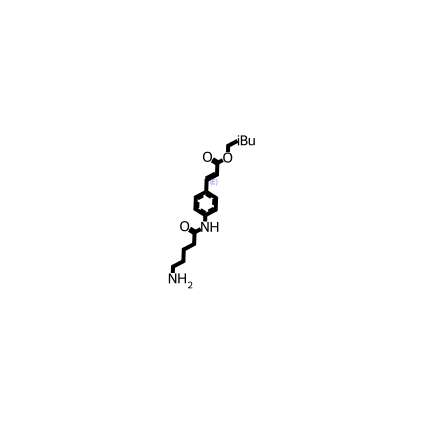 CCC(C)COC(=O)/C=C/c1ccc(NC(=O)CCCCN)cc1